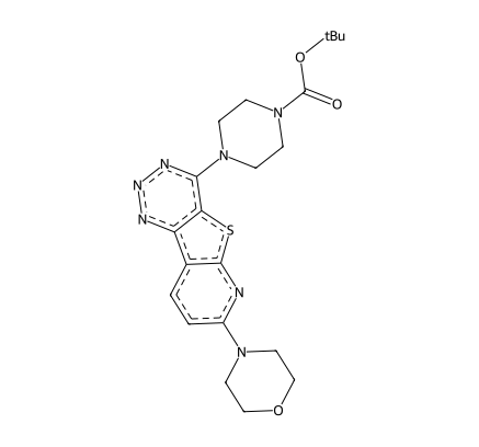 CC(C)(C)OC(=O)N1CCN(c2nnnc3c2sc2nc(N4CCOCC4)ccc23)CC1